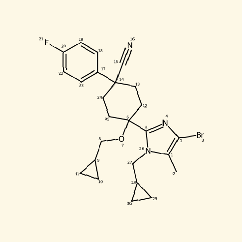 Cc1c(Br)nc(C2(OCC3CC3)CCC(C#N)(c3ccc(F)cc3)CC2)n1CC1CC1